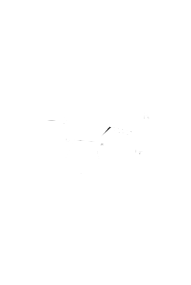 CO[C@H]1CCC[C@@H]1C=C(Br)Br